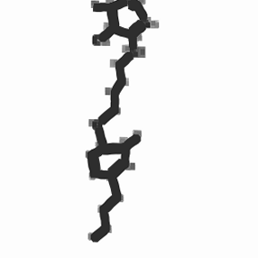 CCCCc1ccc(OCCCCNc2ncnc(C)c2Cl)c(C)c1